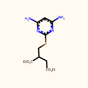 CCOC(=O)CC(CSc1nc(N)cc(N)n1)C(=O)OCC